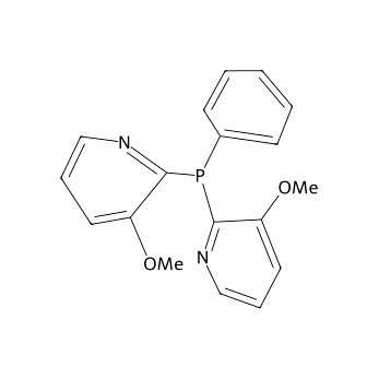 COc1cccnc1P(c1ccccc1)c1ncccc1OC